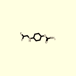 NC(=O)OC1CCC(NCC(F)F)CC1